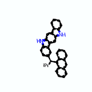 CC(C)C(c1ccc2[nH]c3cc4c(cc3c2c1)[nH]c1ccccc14)c1c2ccccc2cc2ccccc12